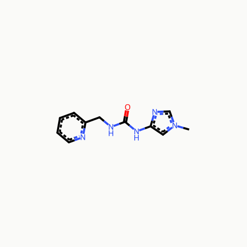 Cn1cnc(NC(=O)NCc2ccccn2)c1